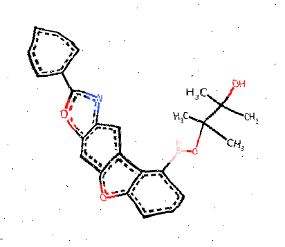 CC(C)(O)C(C)(C)OBc1cccc2oc3cc4oc(-c5ccccc5)nc4cc3c12